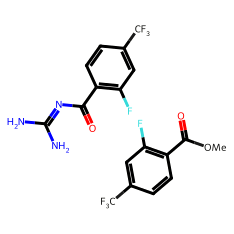 COC(=O)c1ccc(C(F)(F)F)cc1F.NC(N)=NC(=O)c1ccc(C(F)(F)F)cc1F